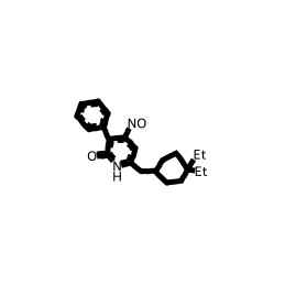 CCC1(CC)CCC(Cc2cc(N=O)c(-c3ccccc3)c(=O)[nH]2)CC1